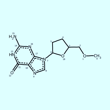 COCC1CCC(n2cnc3c(=O)[nH]c(N)nc32)O1